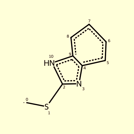 [CH2]Sc1nc2ccccc2[nH]1